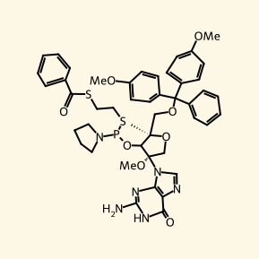 COc1ccc(C(OC[C@@]2(C)OC[C@@](OC)(n3cnc4c(=O)[nH]c(N)nc43)C2OP(SCCSC(=O)c2ccccc2)N2CCCC2)(c2ccccc2)c2ccc(OC)cc2)cc1